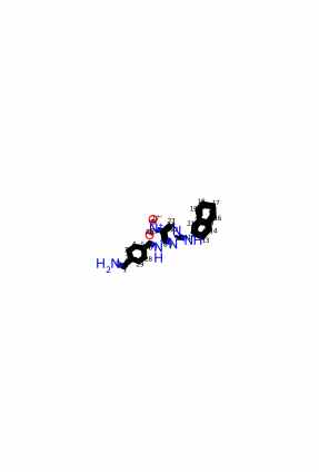 NCC1CCC(CNc2nc(Nc3ccc4ccccc4c3)ncc2[N+](=O)[O-])CC1